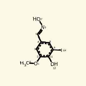 COc1cc(C=NO)cc(I)c1O